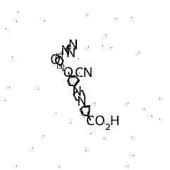 N#Cc1cc(N2CCN(c3ccc(C(=O)O)cc3)CC2)ccc1OC[C@@H]1CO[C@H](Cn2cncn2)C1